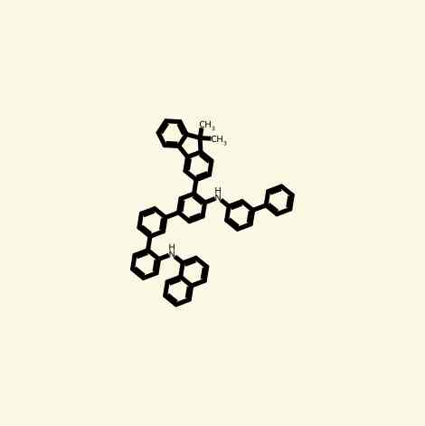 CC1(C)c2ccccc2-c2cc(-c3cc(-c4cccc(-c5ccccc5Nc5cccc6ccccc56)c4)ccc3Nc3cccc(-c4ccccc4)c3)ccc21